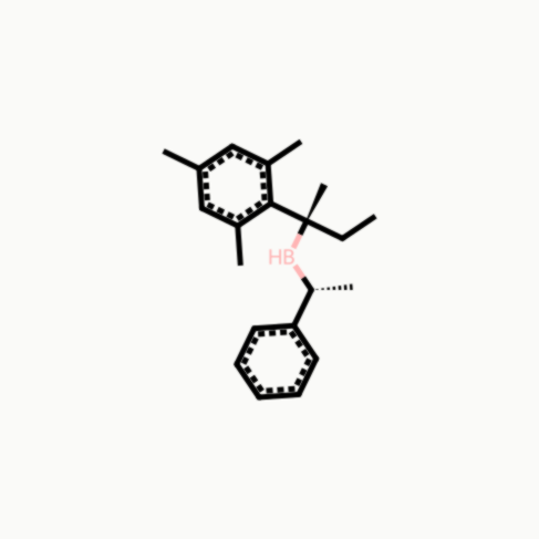 CC[C@](C)(B[C@H](C)c1ccccc1)c1c(C)cc(C)cc1C